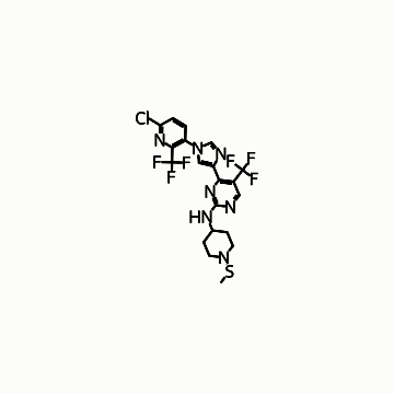 CSN1CCC(Nc2ncc(C(F)(F)F)c(-c3cn(-c4ccc(Cl)nc4C(F)(F)F)cn3)n2)CC1